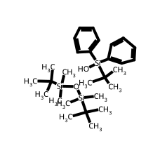 CC(C)(C)[Si](C)(C)O[Si](C)(C)C(C)(C)C.CC(C)(C)[Si](O)(c1ccccc1)c1ccccc1